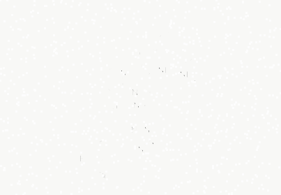 Cc1cc(Cl)cc(C(N)=O)c1NC(=O)c1cc(Cn2nnc(-c3ccc(F)c(Br)c3)n2)nn1-c1ncccc1Cl